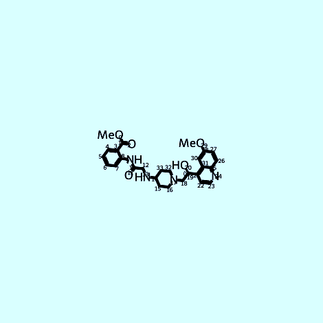 COC(=O)c1ccccc1NC(=O)CNC1CCN(C[C@@H](O)c2ccnc3ccc(OC)cc23)CC1